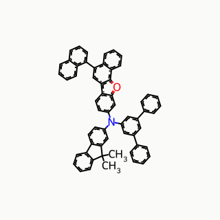 CC1(C)c2ccccc2-c2ccc(N(c3cc(-c4ccccc4)cc(-c4ccccc4)c3)c3ccc4c(c3)oc3c5ccccc5c(-c5cccc6ccccc56)cc43)cc21